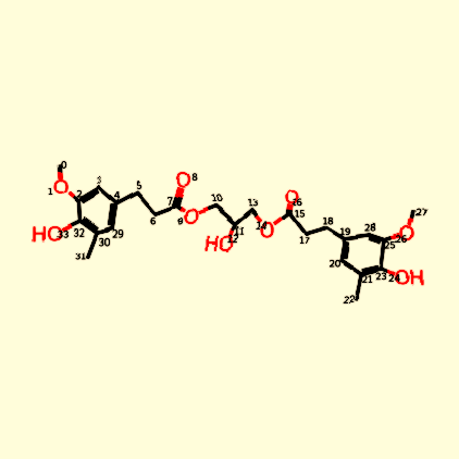 COc1cc(CCC(=O)OCC(O)COC(=O)CCc2cc(C)c(O)c(OC)c2)cc(C)c1O